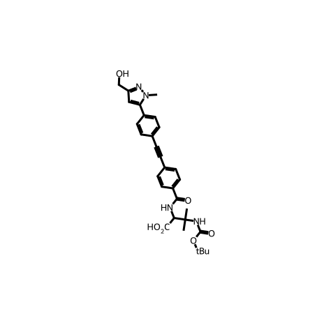 Cn1nc(CO)cc1-c1ccc(C#Cc2ccc(C(=O)NC(C(=O)O)C(C)(C)NC(=O)OC(C)(C)C)cc2)cc1